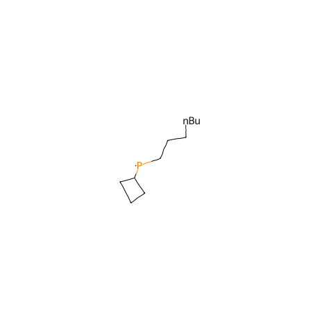 CCCCCCC[P]C1CCC1